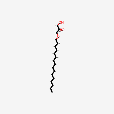 CCCCCCCCCCCCCCCCOCC(=O)CO